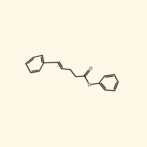 O=C(CC/C=C/c1ccccc1)Oc1ccccc1